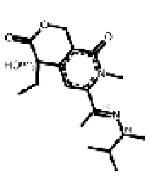 CC[C@@]1(O)C(=O)OCc2c1cc(/C(C)=N/[C@@H](C)C(C)C)n(C)c2=O